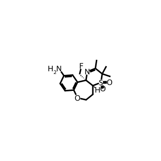 CC1=N[C@]2(CF)c3cc(N)ccc3OCC[C@@H]2S(=O)(=O)C1(C)C